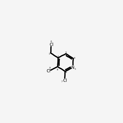 ClCc1ccnc(Cl)c1Cl